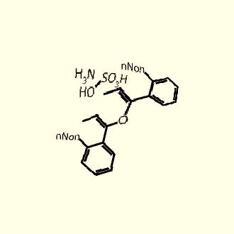 CC=C(OC(=CC)c1ccccc1CCCCCCCCC)c1ccccc1CCCCCCCCC.N.O=S(=O)(O)O